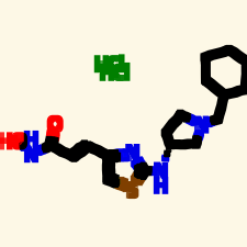 Cl.Cl.O=C(/C=C/c1csc(N[C@@H]2CCN(CC3CCCCC3)C2)n1)NO